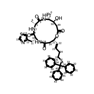 CC(C)[C@H]1NC(=O)[C@@H](C)NC(=O)[C@@H](Cc2cscn2)NC(=O)C[C@@H](/C=C/CCSC(c2ccccc2)(c2ccccc2)c2ccccc2)OC(=O)C[C@@H]1O